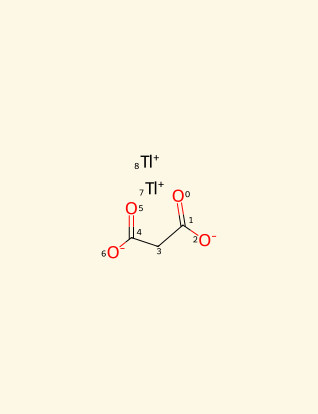 O=C([O-])CC(=O)[O-].[Tl+].[Tl+]